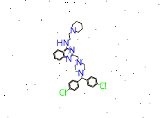 Clc1ccc(C(c2ccc(Cl)cc2)N2CCN(Cc3nc(NCCN4CCCCC4)c4ccccc4n3)CC2)cc1